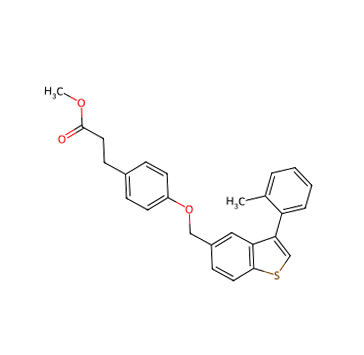 COC(=O)CCc1ccc(OCc2ccc3scc(-c4ccccc4C)c3c2)cc1